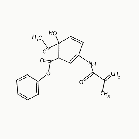 C=C(C)C(=O)NC1=CC(C(=O)Oc2ccccc2)C(O)(C(C)=O)C=C1